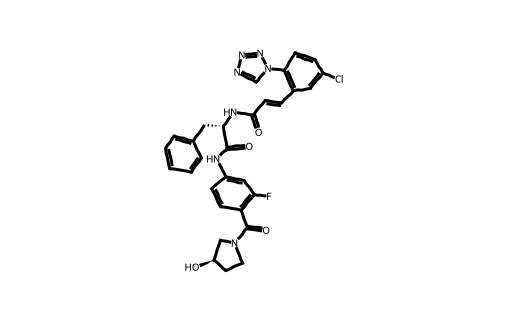 O=C(/C=C/c1cc(Cl)ccc1-n1cnnn1)N[C@@H](Cc1ccccc1)C(=O)Nc1ccc(C(=O)N2CC[C@@H](O)C2)c(F)c1